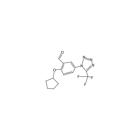 O=Cc1cc(-n2nnnc2C(F)(F)F)ccc1OC1CCCC1